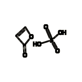 O=C1C=CO1.O=S(=O)(O)O